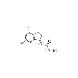 CCNC(=O)/C=C1\CCc2c(F)cc(F)cc21